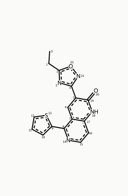 CCc1nc(-c2cc3c(-c4cccs4)nccc3[nH]c2=O)no1